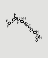 CNc1cc(N2CCN(C(=O)CN3CCC(c4ccc(NC5CCC(=O)NC5=O)cc4)CC3)CC2)ccc1C(=O)Nc1n[nH]c2ccc(Cc3cc(F)cc(F)c3)cc12